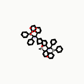 CN(C)c1ccccc1/C(=C(\B(c1ccccc1)c1ccccc1)c1ccccc1)c1ccc2cc(/C(=C(/B(c3ccccc3)c3ccccc3)c3ccccc3)c3ccccc3N(C)C)ccc2c1